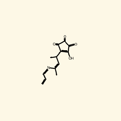 C=C/C=N\C(C)=C/C(C)c1c(O)c(=O)c(=O)c1=O